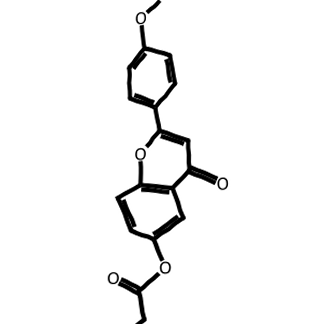 CCC(=O)Oc1ccc2oc(-c3ccc(OC)cc3)cc(=O)c2c1